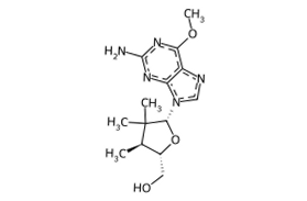 COc1nc(N)nc2c1ncn2[C@@H]1O[C@H](CO)[C@@H](C)C1(C)C